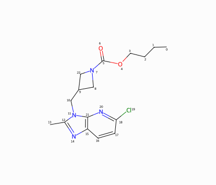 CCCCOC(=O)N1CC(Cn2c(C)nc3ccc(Cl)nc32)C1